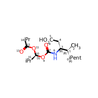 CCC[C@@H](C)[C@@H](C)[C@@H](CC(=O)O)NC(=O)O[C@H](OC(=O)C(C)C)C(C)C